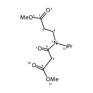 COC(=O)CCN(C(=O)CC(=O)OC)C(C)C